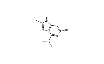 Cc1nc2c(C(C)C)nc(Br)cc2[nH]1